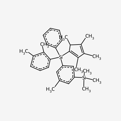 CC1=C(C)C(C)C([Si](c2ccccc2)(c2cc(C)cc([Si](C)(C)C)c2)c2cccc(C)c2C)=C1C